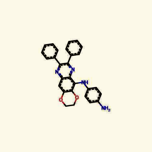 Nc1ccc(Nc2c3c(cc4nc(-c5ccccc5)c(-c5ccccc5)nc24)OCCO3)cc1